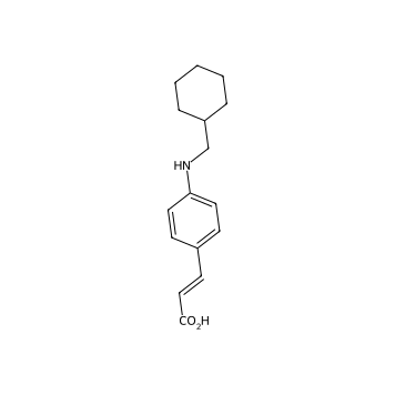 O=C(O)C=Cc1ccc(NCC2CCCCC2)cc1